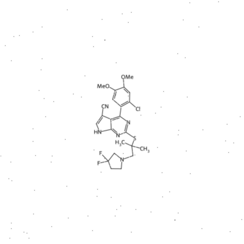 COc1cc(Cl)c(-c2nc(SC(C)(C)CN3CCC(F)(F)C3)nc3[nH]cc(C#N)c23)cc1OC